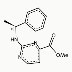 COC(=O)c1ccnc(N[C@@H](C)c2ccccc2)n1